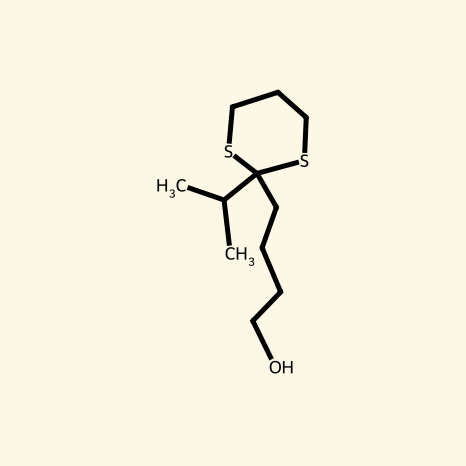 CC(C)C1(CCCCO)SCCCS1